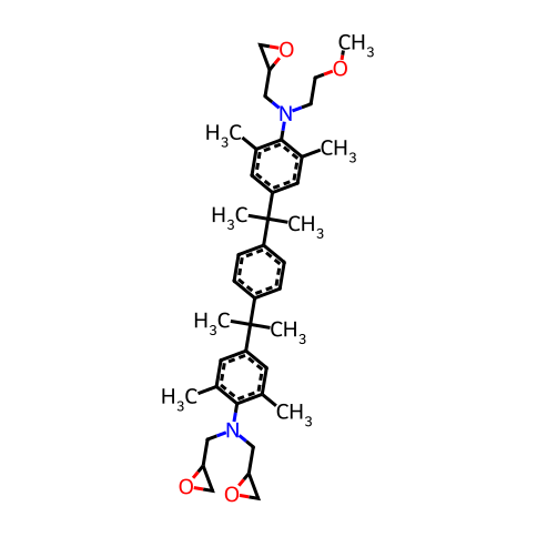 COCCN(CC1CO1)c1c(C)cc(C(C)(C)c2ccc(C(C)(C)c3cc(C)c(N(CC4CO4)CC4CO4)c(C)c3)cc2)cc1C